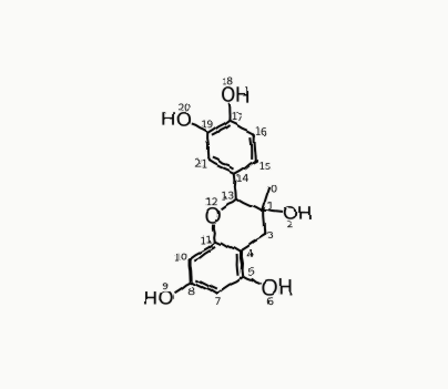 CC1(O)Cc2c(O)cc(O)cc2OC1c1ccc(O)c(O)c1